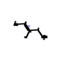 CCCCC/C(C)=C/C(C)=O